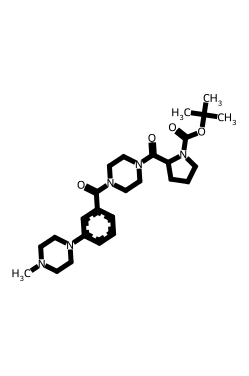 CN1CCN(c2cccc(C(=O)N3CCN(C(=O)C4CCCN4C(=O)OC(C)(C)C)CC3)c2)CC1